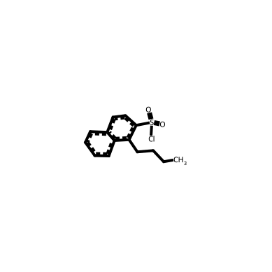 CCCCc1c(S(=O)(=O)Cl)ccc2ccccc12